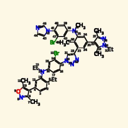 CCc1ccc(-c2c(C)noc2C)cc1N(CC)c1ccc(-n2cc(-c3cc(-c4c(C)nn(CC)c4C)cc(N(C)c4ccc(-n5ccnc5)c(Br)c4)c3C)nn2)c(Br)c1